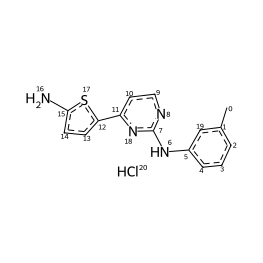 Cc1cccc(Nc2nccc(-c3ccc(N)s3)n2)c1.Cl